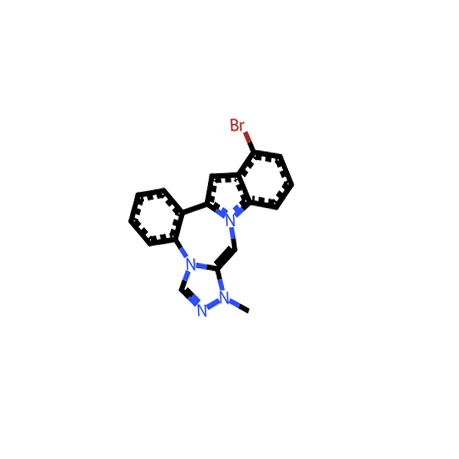 CN1N=CN2C1=Cn1c(cc3c(Br)cccc31)-c1ccccc12